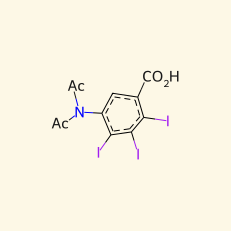 CC(=O)N(C(C)=O)c1cc(C(=O)O)c(I)c(I)c1I